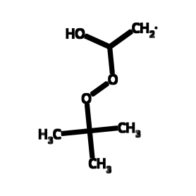 [CH2]C(O)OOC(C)(C)C